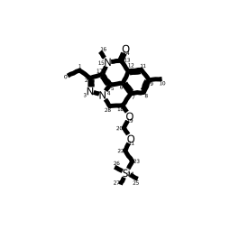 CCc1nn2c3c4c(cc(C)cc4c(=O)n(C)c13)C(OCOCC[Si](C)(C)C)C2